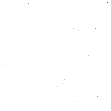 [C]1=CC(CN2CCCCCC2)=CCN1